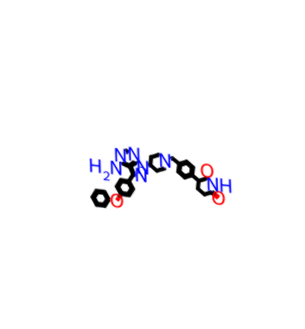 Nc1ncnc2c1c(-c1ccc(Oc3ccccc3)cc1)nn2C1CCN(Cc2ccc(C3CCC(=O)NC3=O)cc2)CC1